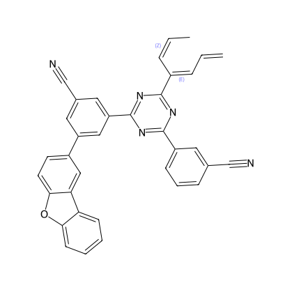 C=C/C=C(\C=C/C)c1nc(-c2cccc(C#N)c2)nc(-c2cc(C#N)cc(-c3ccc4oc5ccccc5c4c3)c2)n1